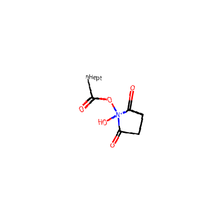 CCCCCCCC(=O)O[N+]1(O)C(=O)CCC1=O